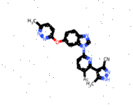 CC(=O)c1ccc(-n2cnc3ccc(Oc4ccc(C)nn4)cc32)nc1-c1c(C#N)n[nH]c1C